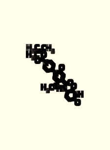 COc1cn(C2CCN(C(=O)OC(C)(C)C)CC2)c(=O)cc1C(=O)N[C@H]1CCC(=O)NC1=O